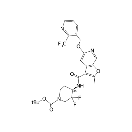 Cc1oc2cnc(OCc3cccnc3C(F)(F)F)cc2c1C(=O)N[C@@H]1CCN(C(=O)OC(C)(C)C)CC1(F)F